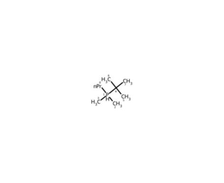 CCC[PH](C)(C)C(C)(C)C